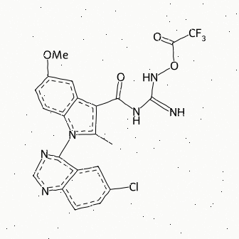 COc1ccc2c(c1)c(C(=O)NC(=N)NOC(=O)C(F)(F)F)c(C)n2-c1ncnc2ccc(Cl)cc12